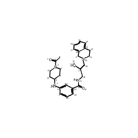 CC(=O)N1CCC(Nc2cccc(C(=O)NCC(O)CN3CCc4ccccc4C3)c2)CC1